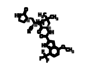 COc1ccc(C(F)(F)F)c2[nH]c(C(=O)N[C@@H](CC(C)(C)C)C(=O)N[C@H](C#N)C[C@@H]3CCNC3=O)cc12